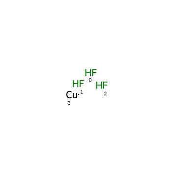 F.F.F.[Cu]